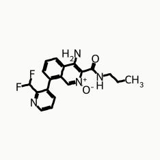 CCCNC(=O)c1c(N)c2cccc(-c3cccnc3C(F)F)c2c[n+]1[O-]